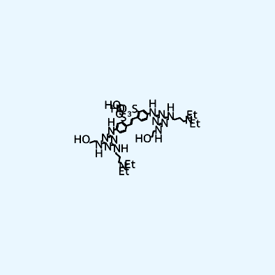 CCN(CC)CCCNc1nc(NCCO)nc(Nc2ccc(/C=C/c3ccc(Nc4nc(NCCO)nc(NCCCN(CC)CC)n4)cc3S(=O)(=O)O)c(SOOO)c2)n1